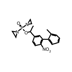 Cc1ccccc1-c1cc(C(C)OP(=O)(N2CC2)N2CC2)ccc1[N+](=O)[O-]